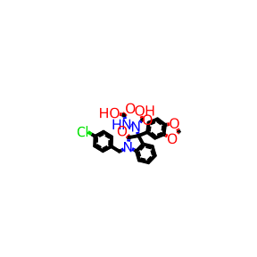 O=C(O)NN(C(=O)O)C1(c2ccc3c(c2)OCO3)C(=O)N(Cc2ccc(Cl)cc2)c2ccccc21